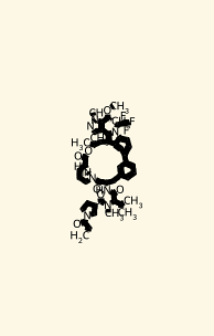 C=CC(=O)N1CC[C@H](C(=O)N(C)C(C(=O)N[C@H]2Cc3cccc(c3)-c3ccc4c(c3)c(c(-c3cnn(C)c3[C@H](C)OC)n4CC(F)(F)F)CC(C)(C)OC(=O)[C@@H]3CCCN(N3)C2=O)C(C)C)C1